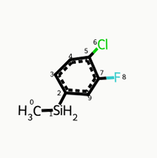 C[SiH2]c1ccc(Cl)c(F)c1